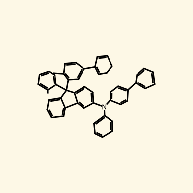 Cc1ccccc1C1(c2cc(C3=CCCC=C3)ccc2C)c2ccccc2-c2cc(N(c3ccccc3)c3ccc(-c4ccccc4)cc3)ccc21